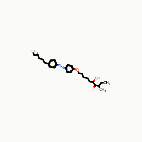 CCCCCCc1ccc(/N=N/c2ccc(OCCCCCC(O)C(=O)C(C)CC)cc2)cc1